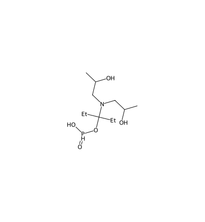 CCC(CC)(O[PH](=O)O)N(CC(C)O)CC(C)O